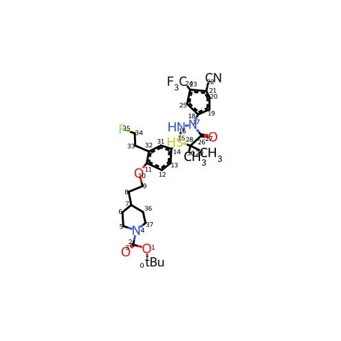 CC(C)(C)OC(=O)N1CCC(CCOc2ccc([SH]3NN(c4ccc(C#N)c(C(F)(F)F)c4)C(=O)C3(C)C)cc2CCF)CC1